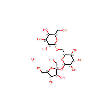 O.OC[C@H]1O[C@H](OC[C@H]2O[C@H](O[C@]3(CO)O[C@H](CO)[C@@H](O)[C@@H]3O)[C@H](O)[C@@H](O)[C@@H]2O)[C@H](O)[C@@H](O)[C@H]1O